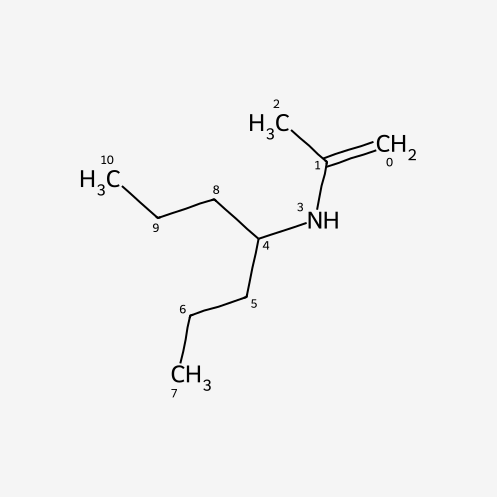 C=C(C)NC(CCC)CCC